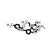 CCC[C@@]1(c2cc(NC(=O)c3ccc(C)cn3)ccc2F)CS(=O)(=O)N(C)C(=N)N1